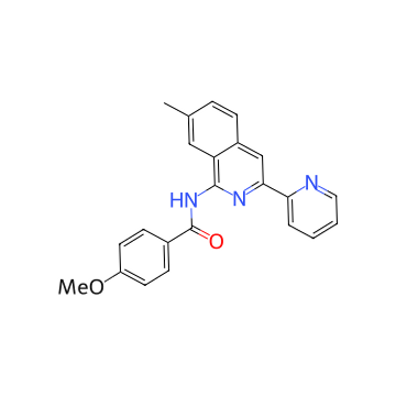 COc1ccc(C(=O)Nc2nc(-c3ccccn3)cc3ccc(C)cc23)cc1